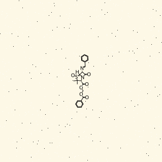 CC1(C)[C@H](C(=O)OCOC(=O)c2ccccc2)N2C(=O)[C@@H](N=Cc3ccccc3)[C@H]2[S+]1[O-]